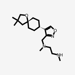 CNCCN(C)Cc1nocc1[C@H]1CC[C@@]2(CC1)CC(C)(C)CO2